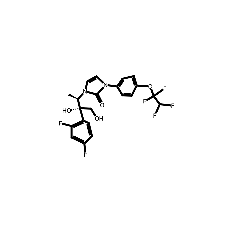 C[C@@H](n1ccn(-c2ccc(OC(F)(F)C(F)F)cc2)c1=O)[C@@](O)(CO)c1ccc(F)cc1F